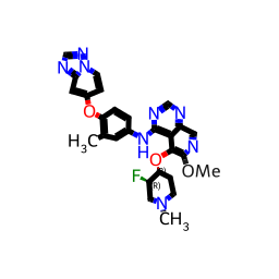 COc1ncc2ncnc(Nc3ccc(Oc4ccn5ncnc5c4)c(C)c3)c2c1O[C@@H]1CCN(C)C[C@H]1F